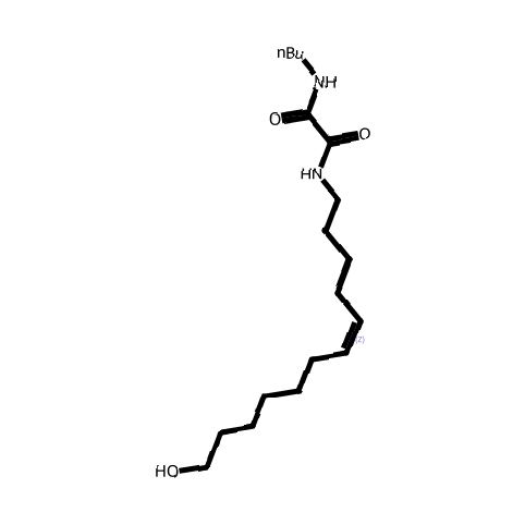 CCCCNC(=O)C(=O)NCCCC/C=C\CCCCCCO